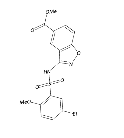 CCc1ccc(OC)c(S(=O)(=O)Nc2noc3ccc(C(=O)OC)cc23)c1